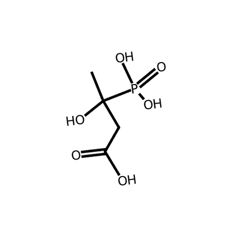 CC(O)(CC(=O)O)P(=O)(O)O